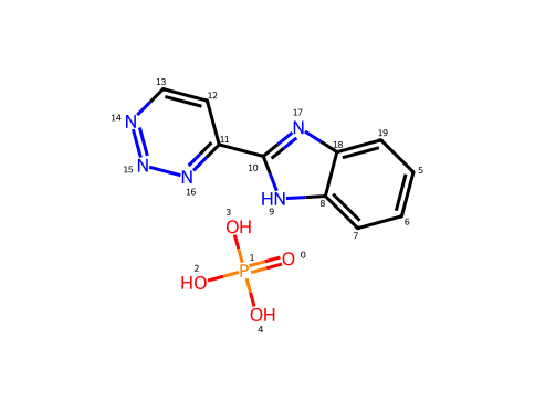 O=P(O)(O)O.c1ccc2[nH]c(-c3ccnnn3)nc2c1